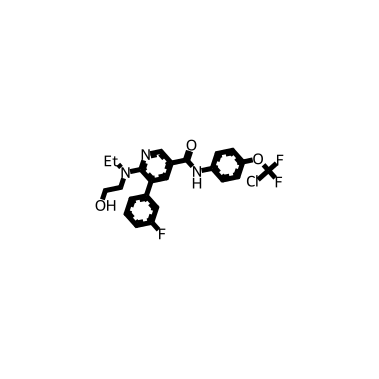 CCN(CCO)c1ncc(C(=O)Nc2ccc(OC(F)(F)Cl)cc2)cc1-c1cccc(F)c1